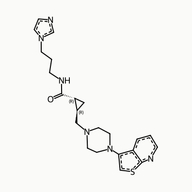 O=C(NCCCn1ccnc1)[C@@H]1C[C@H]1CN1CCN(c2csc3ncccc23)CC1